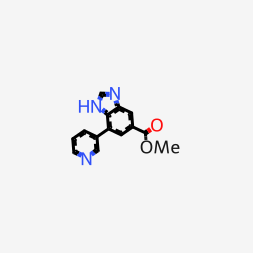 COC(=O)c1cc(-c2cccnc2)c2[nH]cnc2c1